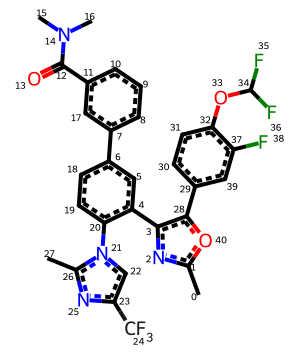 Cc1nc(-c2cc(-c3cccc(C(=O)N(C)C)c3)ccc2-n2cc(C(F)(F)F)nc2C)c(-c2ccc(OC(F)F)c(F)c2)o1